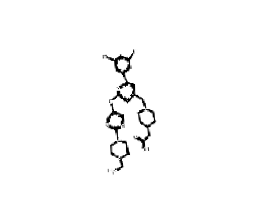 CCN1CCN(c2ncc(Oc3cc(CN4CCC(CC(=O)O)CC4)cc(-c4cc(Cl)cc(Cl)c4)n3)cn2)CC1